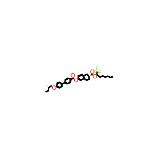 CCCCCCC(OC(=O)[C@@H]1CCc2cc(OC(=O)c3ccc(-c4ccc(OC[C@@H](C)CC)cc4)cc3)ccc2C1)C(F)(F)F